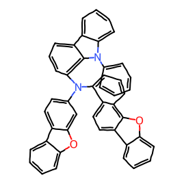 c1ccc(-n2c3ccccc3c3cccc(N(c4ccc5c(c4)oc4ccccc45)c4cccc5c4ccc4c6ccccc6oc54)c32)cc1